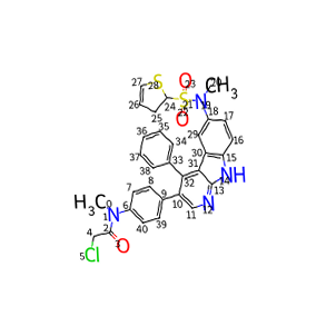 CN(C(=O)CCl)c1ccc(-c2cnc3[nH]c4ccc(N(C)S(=O)(=O)C5CC=CS5)cc4c3c2-c2ccccc2)cc1